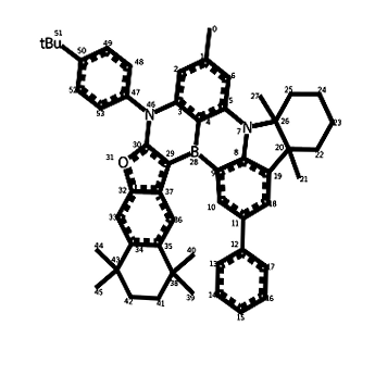 Cc1cc2c3c(c1)N1c4c(cc(-c5ccccc5)cc4C4(C)CCCCC14C)B3c1c(oc3cc4c(cc13)C(C)(C)CCC4(C)C)N2c1ccc(C(C)(C)C)cc1